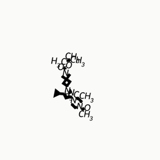 CC(=O)N1CCN(c2cc(C3CC3)n(C3CC4(C3)CN(C(=O)OC(C)(C)C)C4)n2)C(C)(C)C1